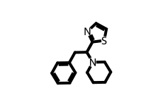 c1ccc(CC(c2nccs2)N2CCCCC2)cc1